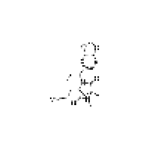 CC[C@H](c1ccc2c(c1)OCO2)N1C(=O)[C@@]2(C)S[C@@]1(CCC#N)C(=O)N2C